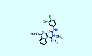 COc1ncc(C(C)N(C)C(=O)Nc2ccc(F)c(Cl)c2)c2ccccc12